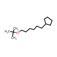 CC(C)(C)OCCCCCCC1CCCC1